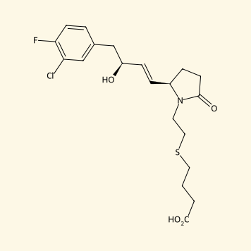 O=C(O)CCCSCCN1C(=O)CC[C@@H]1/C=C/[C@@H](O)Cc1ccc(F)c(Cl)c1